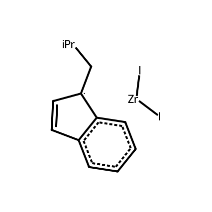 CC(C)C[C]1C=Cc2ccccc21.[I][Zr][I]